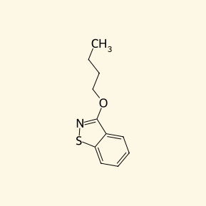 CCCCOc1nsc2ccccc12